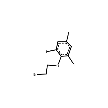 BrCCOc1c(I)cc(I)cc1I